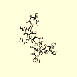 C[C@H]1C2=CNN(c3ccc(F)cc3)C2=CC2=C1[C@@H](CN(CCO)S(=O)(=O)c1cc(Cl)c(Cl)s1)CC2